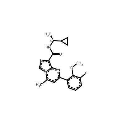 COc1c(F)cccc1-c1cc(C)n2cnc(C(=O)N[C@@H](C)C3CC3)c2n1